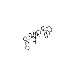 Cc1cc(C)c(NC(=O)c2ccc3nc(NC(=O)Cc4ccccc4OCc4ccccc4)sc3c2)c(C)c1